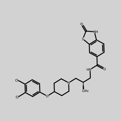 CC(=O)O[C@H](CNC(=O)c1ccc2[nH]c(=O)sc2c1)CN1CCC(Oc2ccc(Cl)c(Cl)c2)CC1